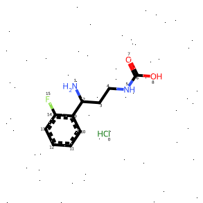 Cl.NC(CCNC(=O)O)c1ccccc1F